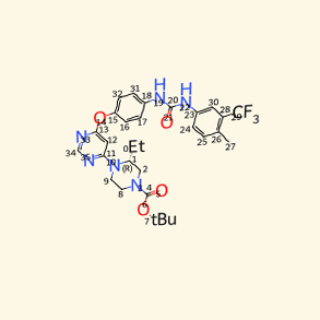 CC[C@@H]1CN(C(=O)OC(C)(C)C)CCN1c1cc(Oc2ccc(NC(=O)Nc3ccc(C)c(C(F)(F)F)c3)cc2)ncn1